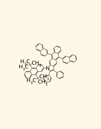 CC(C)(C)c1c2ccccc2c(C(C)(C)C)c2cc(-n3c(-c4ccccc4)c(-c4ccccc4)c4cc5c(-c6ccc7ccccc7c6)c6ccccc6c(-c6ccc7ccccc7c6)c5cc43)ccc12